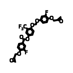 O=C(Oc1ccc(OCOc2ccc(OCC3CO3)c(F)c2)c(C(F)(F)F)c1)c1ccc(OCC2CO2)c(F)c1